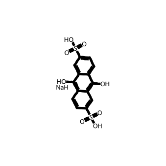 O=S(=O)(O)c1ccc2c(O)c3cc(S(=O)(=O)O)ccc3c(O)c2c1.[NaH]